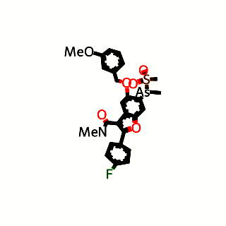 CNC(=O)c1c(-c2ccc(F)cc2)oc2cc([As](C)S(C)(=O)=O)c(OCc3cccc(OC)c3)cc12